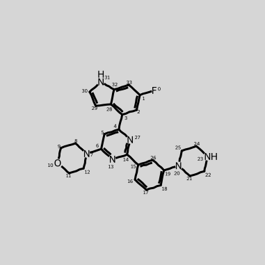 Fc1cc(-c2cc(N3CCOCC3)nc(-c3cccc(N4CCNCC4)c3)n2)c2cc[nH]c2c1